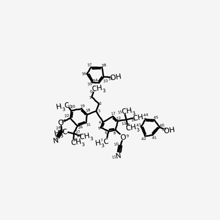 CCCC(c1cc(C)c(OC#N)c(C(C)(C)C)c1)c1cc(C)c(OC#N)c(C(C)(C)C)c1.Oc1ccccc1.Oc1ccccc1